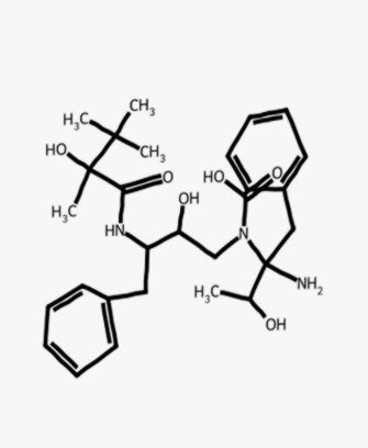 CC(O)C(N)(Cc1ccccc1)N(CC(O)C(Cc1ccccc1)NC(=O)C(C)(O)C(C)(C)C)C(=O)O